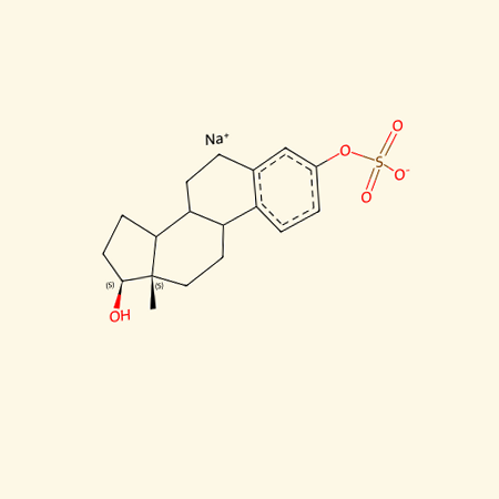 C[C@]12CCC3c4ccc(OS(=O)(=O)[O-])cc4CCC3C1CC[C@@H]2O.[Na+]